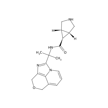 CC(C)(NC(=O)[C@H]1[C@@H]2CNC[C@@H]21)c1nc2c3c(cccn13)COC2